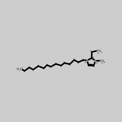 CCCCCCCCCCCCCCCN1C=CN(C)C1CC